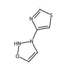 [c]1nc(N2C=CON2)cs1